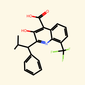 CC(C)C(c1ccccc1)c1nc2c(C(F)(F)F)cccc2c(C(=O)O)c1O